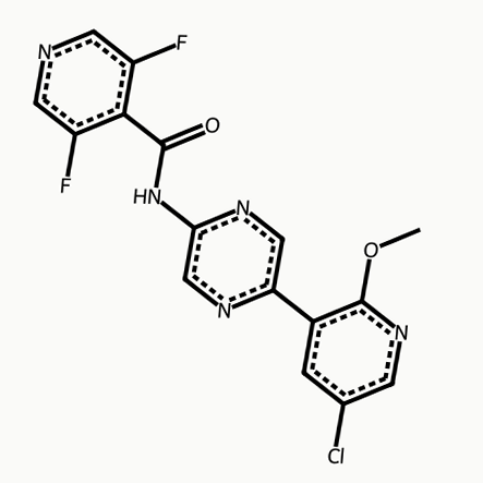 COc1ncc(Cl)cc1-c1cnc(NC(=O)c2c(F)cncc2F)cn1